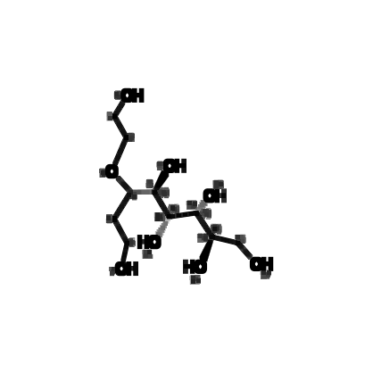 OCCOC(CCO)[C@@H](O)[C@@H](O)[C@H](O)[C@H](O)CO